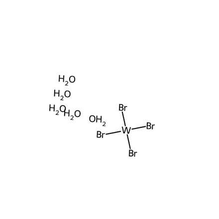 O.O.O.O.O.[Br][W]([Br])([Br])[Br]